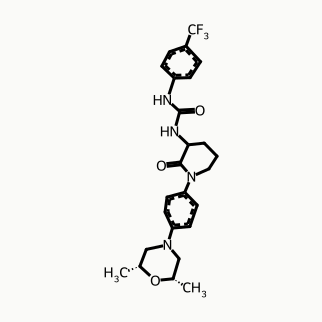 C[C@@H]1CN(c2ccc(N3CCCC(NC(=O)Nc4ccc(C(F)(F)F)cc4)C3=O)cc2)C[C@H](C)O1